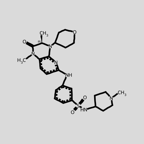 C[C@@H]1C(=O)N(C)c2ccc(Nc3cccc(S(=O)(=O)NC4CCN(C)CC4)c3)nc2N1C1CCOCC1